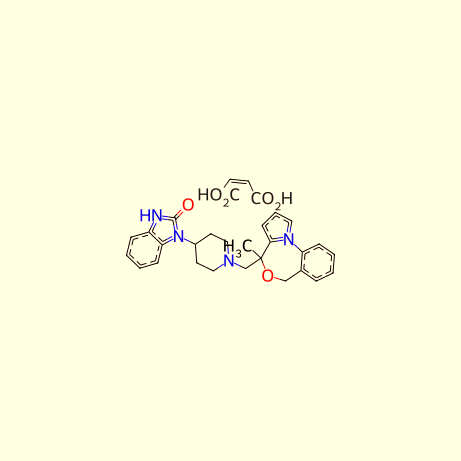 CC1(CN2CCC(n3c(=O)[nH]c4ccccc43)CC2)OCc2ccccc2-n2cccc21.O=C(O)/C=C\C(=O)O